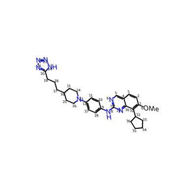 COc1ccc2cnc(Nc3ccc(N4CCC(CCCc5nnn[nH]5)CC4)cc3)nc2c1C1CCCC1